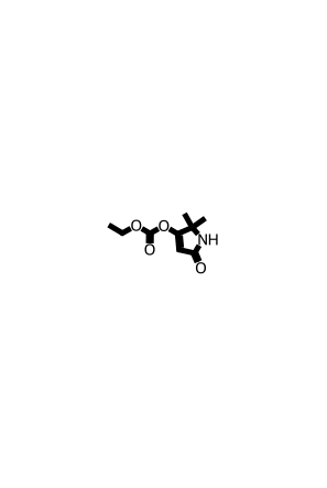 CCOC(=O)OC1=CC(=O)NC1(C)C